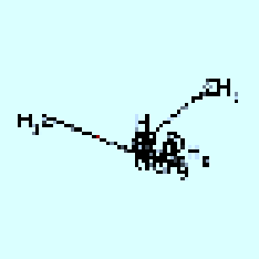 CCCCCCCCCCCCCCCCCCCC(CNC(=O)OCC(C)(C)OCCC(C)(C)OC)SC(=O)NCCCCCCCCCCCCCCCCCC